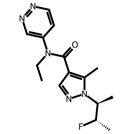 CCN(C(=O)c1cnn([C@@H](C)[C@H](C)F)c1C)c1ccnnc1